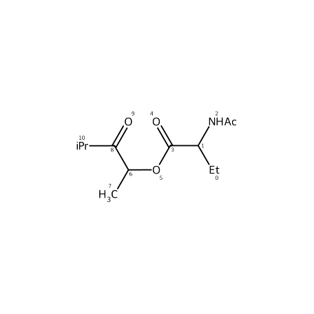 CCC(NC(C)=O)C(=O)OC(C)C(=O)C(C)C